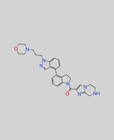 O=C(c1cn2c(n1)CNCC2)N1CCc2c(-c3cccc4c3cnn4CCCN3CCOCC3)cccc21